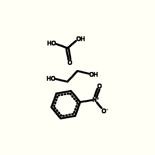 O=C(O)O.O=[N+]([O-])c1ccccc1.OCCO